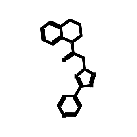 O=C(Cn1nnc(-c2ccncc2)n1)N1CCCc2ccccc21